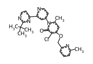 Cc1cccc(COc2cc(C)n(-c3ccnc(-c4ccnc(C(C)(C)C)n4)c3)c(=O)c2Cl)n1